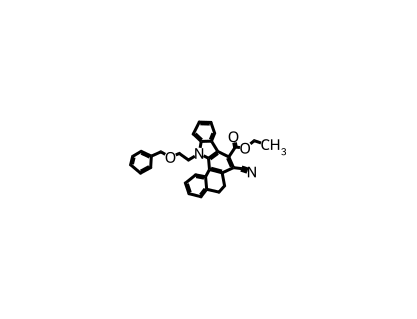 CCOC(=O)c1c(C#N)c2c(c3c1c1ccccc1n3CCOCc1ccccc1)-c1ccccc1CC2